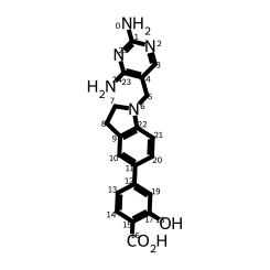 Nc1ncc(CN2CCc3cc(-c4ccc(C(=O)O)c(O)c4)ccc32)c(N)n1